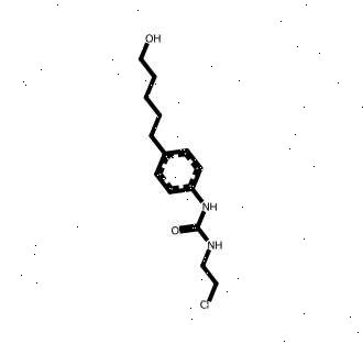 O=C(NCCCl)Nc1ccc(CCCCCO)cc1